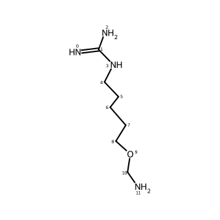 N=C(N)NCCCCCOCN